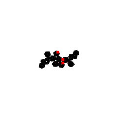 CC1(C)c2ccccc2-c2ccc(N(c3ccccc3)c3ccc(-c4cc(-c5ccccc5)c(-c5ccc(N(c6ccccc6)c6ccc7c(c6)C(C)(C)c6ccccc6-7)cc5)c5c6ccccc6c6ccccc6c45)cc3)cc21